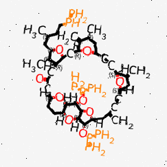 C=C1CC[C@H]2CC(=C)[C@H](CCC3C[C@@H](C)C(=C)[C@@H](CC4O[C@H](C[C@H](C)CCPP)[C@H](C)[C@H]4CC(=O)C[C@H]4CC[C@@H]5O[C@@H]6C(O[C@H](C1)[C@@H]6OP(P)P)[C@@H](OP(P)P)[C@H]5O4)O3)O2